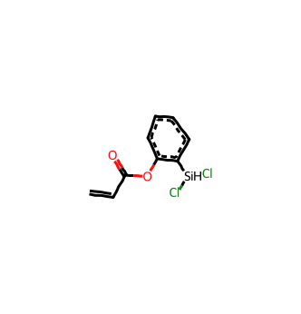 C=CC(=O)Oc1ccccc1[SiH](Cl)Cl